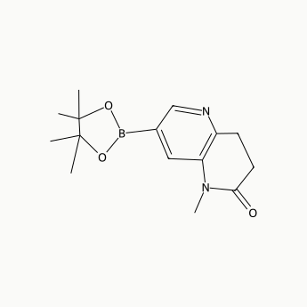 CN1C(=O)CCc2ncc(B3OC(C)(C)C(C)(C)O3)cc21